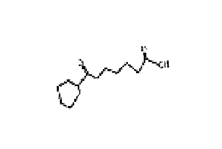 O=C(O)CCCCCC(=O)C1CCCCC1